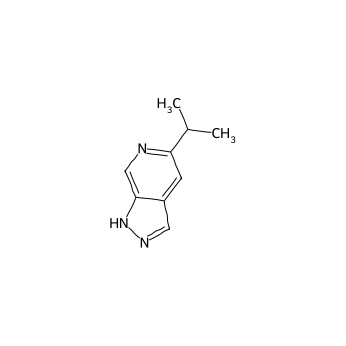 CC(C)c1cc2cn[nH]c2cn1